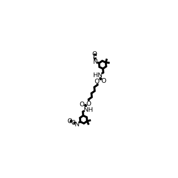 CC1(C)CC(CNC(=O)OCCCCCCOC(=O)NCC2CC(N=C=O)CC(C)(C)C2)CC(N=C=O)C1